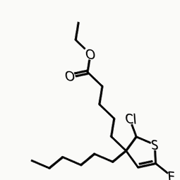 CCCCCCC1(CCCCC(=O)OCC)C=C(F)SC1Cl